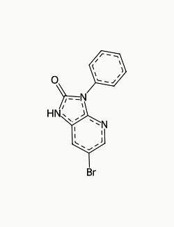 O=c1[nH]c2cc(Br)cnc2n1-c1ccccc1